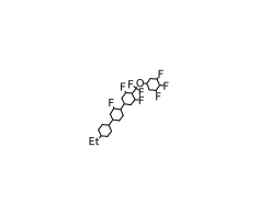 CCC1CCC(C2CCC(C3CC(F)C(C(F)(F)OC4CC(F)C(F)C(F)C4)C(F)C3)C(F)C2)CC1